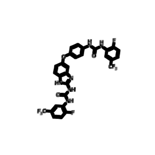 O=C(Nc1ccc(Oc2ccc3[nH]c(NC(=O)Nc4cc(C(F)(F)F)ccc4F)nc3c2)cc1)Nc1cc(C(F)(F)F)ccc1F